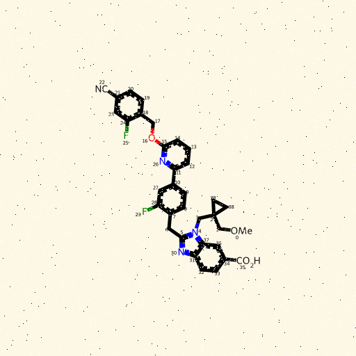 COCC1(Cn2c(Cc3ccc(-c4cccc(OCc5ccc(C#N)cc5F)n4)cc3F)nc3ccc(C(=O)O)cc32)CC1